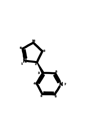 C1=N[C@H](c2cccnc2)CC1